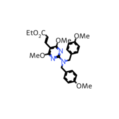 CCOC(=O)/C=C/c1c(OC)nc(N(Cc2ccc(OC)cc2)Cc2ccc(OC)cc2)nc1OC